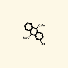 COc1c2ccccc2c(OC)c2cc(O)ccc12